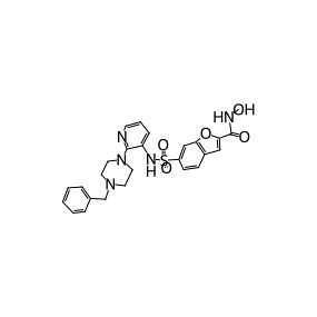 O=C(NO)c1cc2ccc(S(=O)(=O)Nc3cccnc3N3CCN(Cc4ccccc4)CC3)cc2o1